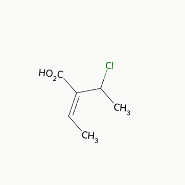 CC=C(C(=O)O)C(C)Cl